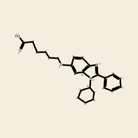 O=C(O)CCCCCOc1ccc2nc(-c3ccccc3)n(C3CCCCC3)c2c1